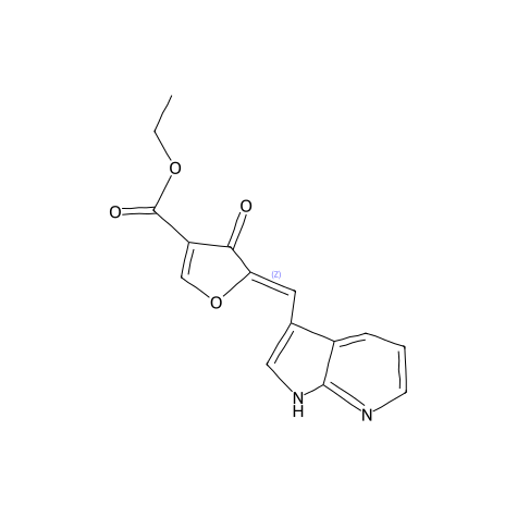 CCOC(=O)C1=CO/C(=C\c2c[nH]c3ncccc23)C1=O